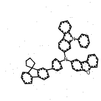 c1ccc(-n2c3ccccc3c3ccc(N(c4ccc(-c5ccc6c(c5)C5(CCCC5)c5ccccc5-6)cc4)c4ccc5oc6ccccc6c5c4)cc32)cc1